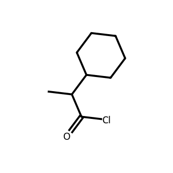 CC(C(=O)Cl)C1CCCCC1